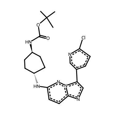 CC(C)(C)OC(=O)N[C@H]1CC[C@H](Nc2ccc3ncc(-c4ccc(Cl)nc4)n3n2)CC1